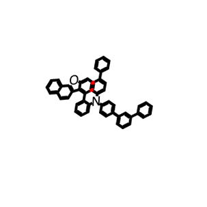 c1ccc(-c2ccc(N(c3ccc(-c4cccc(-c5ccccc5)c4)cc3)c3ccccc3-c3cccc4oc5c6ccccc6ccc5c34)cc2)cc1